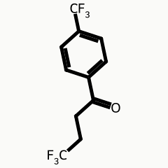 O=C(CCC(F)(F)F)c1ccc(C(F)(F)F)cc1